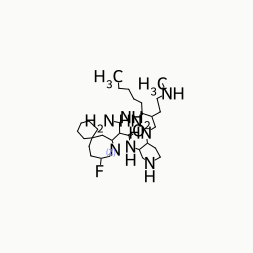 CCCCCC(=N)C(CCNC)CNC1CCNCC1NC(=O)C(C(N)N)C1CC2(CCCCC2)CCC(F)/C=N\1